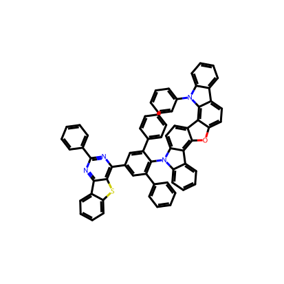 c1ccc(-c2nc(-c3cc(-c4ccccc4)c(-n4c5ccccc5c5c6oc7ccc8c9ccccc9n(-c9ccccc9)c8c7c6ccc54)c(-c4ccccc4)c3)c3sc4ccccc4c3n2)cc1